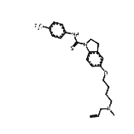 C=CCN(C)CCCCOc1ccc2c(c1)CCN2C(=S)Nc1ccc(C(F)(F)F)cc1